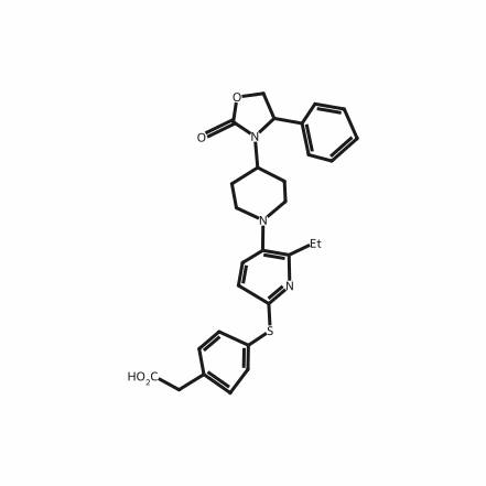 CCc1nc(Sc2ccc(CC(=O)O)cc2)ccc1N1CCC(N2C(=O)OCC2c2ccccc2)CC1